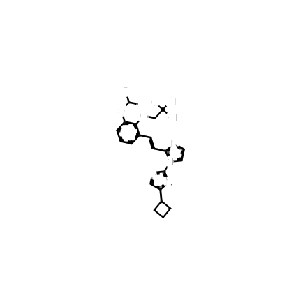 CC(C)(C)COc1c(/C=C/c2nccn2-c2nc(C3CCC3)cs2)cccc1OC(F)F